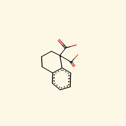 O=C(O)C1(C(=O)O)CCCc2ccccc21